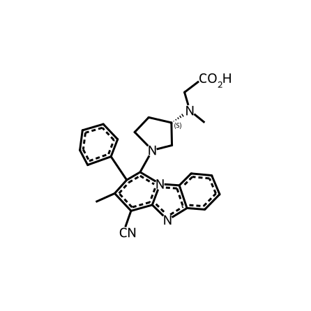 Cc1c(-c2ccccc2)c(N2CC[C@H](N(C)CC(=O)O)C2)n2c(nc3ccccc32)c1C#N